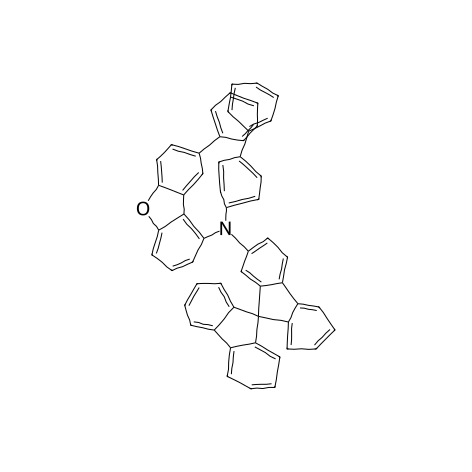 c1ccc(-c2ccc(N(c3ccc4c(c3)C3(c5ccccc5-c5ccccc53)c3ccccc3-4)c3cccc4oc5ccc(-c6ccccc6)cc5c34)cc2)cc1